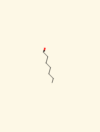 O=CCCCCC[AsH2]